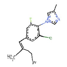 Cc1cn(-c2c(F)cc(/C=C(\CC(C)C)C(=O)O)cc2Cl)cn1